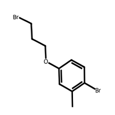 Cc1cc(OCCCBr)ccc1Br